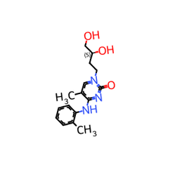 Cc1ccccc1Nc1nc(=O)n(CC[C@H](O)CO)cc1C